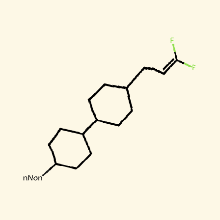 CCCCCCCCCC1CCC(C2CCC(CC=C(F)F)CC2)CC1